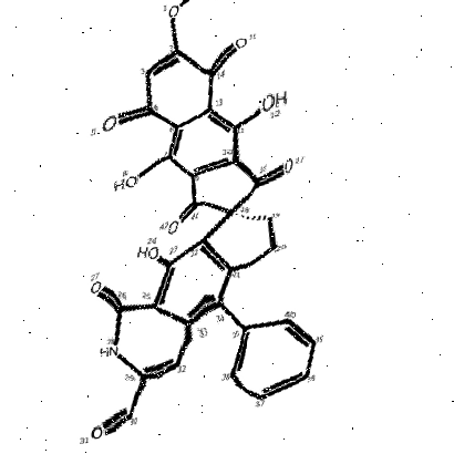 COC1=CC(=O)c2c(O)c3c(c(O)c2C1=O)C(=O)[C@]1(CCc2c1c(O)c1c(=O)[nH]c(C=O)cc1c2-c1ccccc1)C3=O